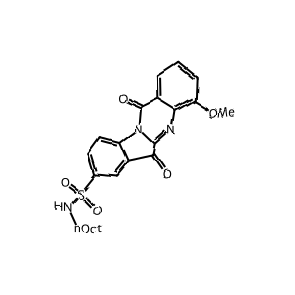 CCCCCCCCNS(=O)(=O)c1ccc2c(c1)C(=O)c1nc3c(OC)cccc3c(=O)n1-2